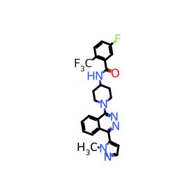 Cn1nccc1-c1nnc(N2CCC(NC(=O)c3cc(F)ccc3C(F)(F)F)CC2)c2ccccc12